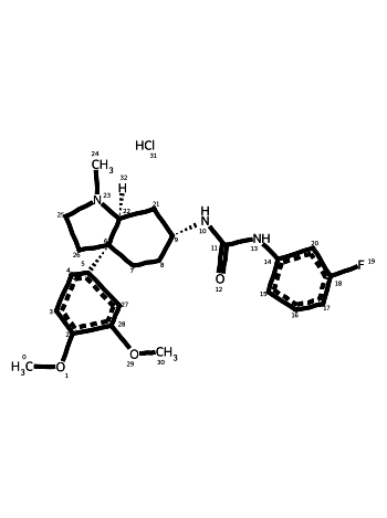 COc1ccc([C@@]23CC[C@@H](NC(=O)Nc4cccc(F)c4)C[C@@H]2N(C)CC3)cc1OC.Cl